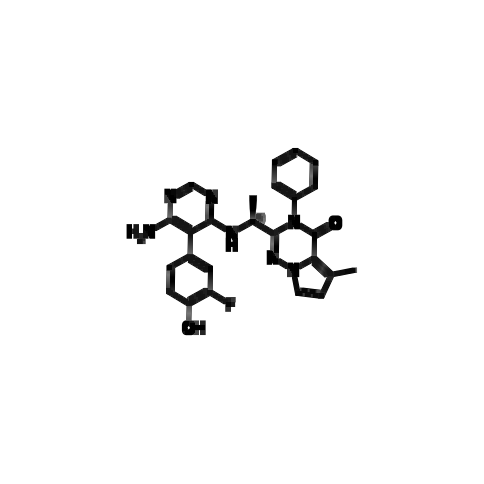 Cc1ccn2nc([C@H](C)Nc3ncnc(N)c3-c3ccc(O)c(F)c3)n(-c3ccccc3)c(=O)c12